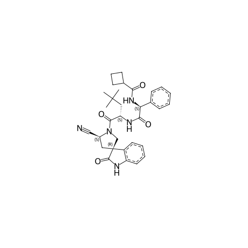 CC(C)(C)C[C@H](NC(=O)[C@@H](NC(=O)C1CCC1)c1ccccc1)C(=O)N1C[C@]2(C[C@H]1C#N)C(=O)Nc1ccccc12